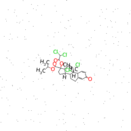 CC(C)OC(=O)[C@@]1(OC(=O)C(Cl)Cl)CC[C@H]2[C@@H]3CCC4=CC(=O)C=C[C@]4(C)[C@@]3(Cl)[C@@H](Cl)C[C@@]21C